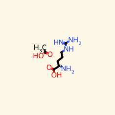 CC(=O)O.N=C(N)NCCC[C@@H](N)C(=O)O